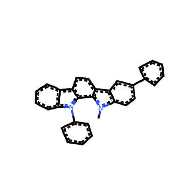 Cn1c2ccc(-c3ccccc3)cc2c2ccc3c4ccccc4n(-c4ccccc4)c3c21